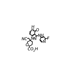 N#CCC1(n2nc(Nc3ccnc(F)c3)c3c(=O)[nH]ccc32)CCC(C(=O)O)OC1